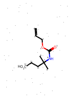 C=CCOC(=O)NC(C)(C)CCC(=O)O